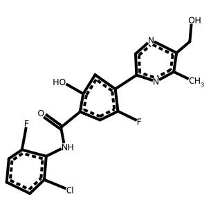 Cc1nc(-c2cc(O)c(C(=O)Nc3c(F)cccc3Cl)cc2F)cnc1CO